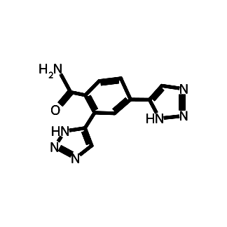 NC(=O)c1ccc(-c2cnn[nH]2)cc1-c1cnn[nH]1